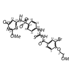 COCCOc1ccc(C(=O)NC(=S)Nc2ccc(S(=O)(=O)Nc3cc(OC)nc(OC)n3)cc2)cc1Br